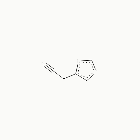 N#CCc1cocn1